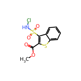 COC(=O)c1sc2ccccc2c1S(=O)(=O)NCl